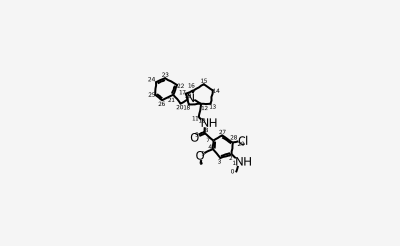 CNc1cc(OC)c(C(=O)NCC23CCCC(CC2)N3Cc2ccccc2)cc1Cl